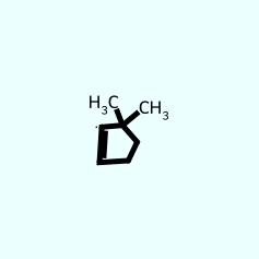 CC1(C)[C]=CCC1